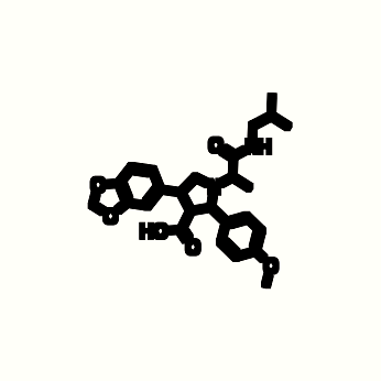 COc1ccc(C2C(C(=O)O)C(c3ccc4c(c3)OCO4)CN2C(C)C(=O)NCC(C)C)cc1